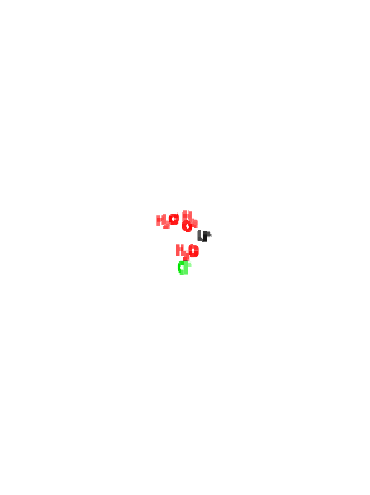 O.O.O.[Cl-].[Li+]